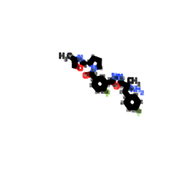 Cc1coc([C@H]2CCCN2C(=O)c2ccc(F)c(-c3nnc([C@](C)(N)Cc4ccc(F)cc4)o3)c2)n1